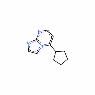 c1cc(C2CCCC2)n2ccnc2n1